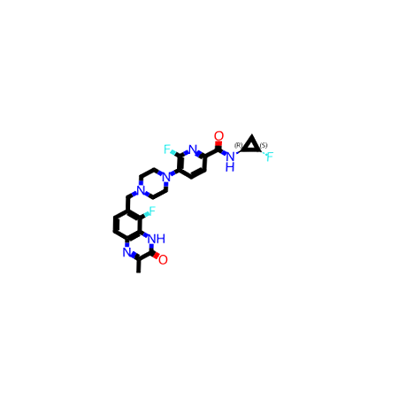 Cc1nc2ccc(CN3CCN(c4ccc(C(=O)N[C@@H]5C[C@@H]5F)nc4F)CC3)c(F)c2[nH]c1=O